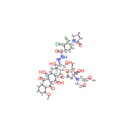 COc1cccc2c1C(=O)c1c(O)c3c(c(O)c1C2=O)C[C@@](O)(/C(CO)=N/NC(=O)c1ccc(N2CC=CC2=O)c(F)c1Cl)C[C@@H]3O[C@H]1CC(N2CCO[C@H](OC)C2)[C@H](O)[C@H](C)O1